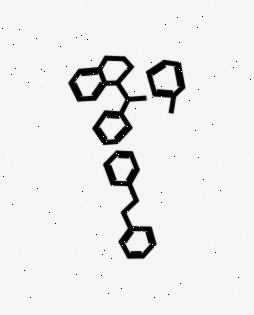 CC(c1ccccc1)C1CCCc2ccccc21.Cc1ccccc1.c1ccc(CCc2ccccc2)cc1